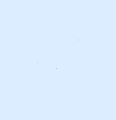 Cc1cncc(-c2ccc(Cl)cc2)n1